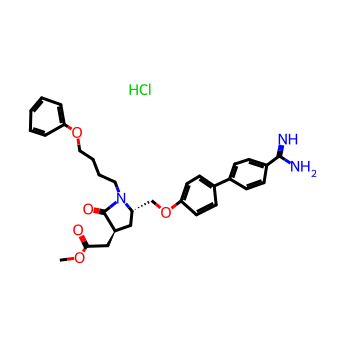 COC(=O)C[C@@H]1C[C@@H](COc2ccc(-c3ccc(C(=N)N)cc3)cc2)N(CCCCOc2ccccc2)C1=O.Cl